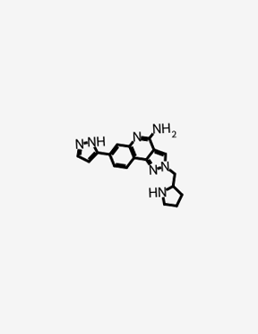 Nc1nc2cc(-c3ccn[nH]3)ccc2c2nn(CC3CCCN3)cc12